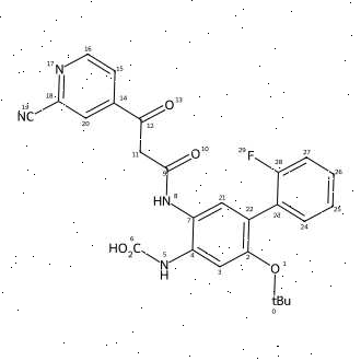 CC(C)(C)Oc1cc(NC(=O)O)c(NC(=O)CC(=O)c2ccnc(C#N)c2)cc1-c1ccccc1F